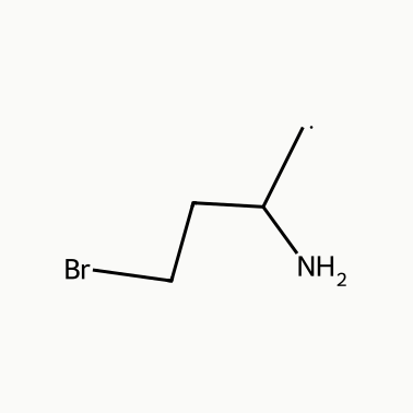 [CH2]C(N)CCBr